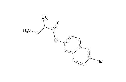 CCC(C)C(=O)Oc1ccc2cc(Br)ccc2c1